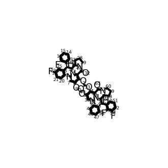 O=C(Oc1c2n(ncc1=O)[C@@H]([C@H](c1ccccc1)c1cccc(F)c1F)[C@H]1CCCN1C2=O)Oc1c2n(ncc1=O)[C@@H]([C@H](c1ccccc1)c1cccc(F)c1F)[C@H]1CCCN1C2=O